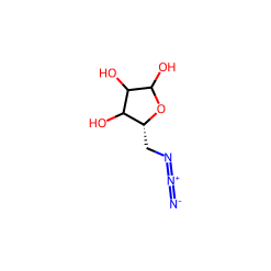 [N-]=[N+]=NC[C@H]1OC(O)C(O)C1O